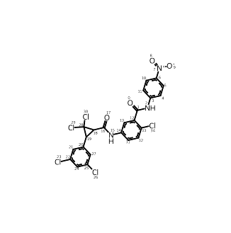 O=C(Nc1ccc([N+](=O)[O-])cc1)c1cc(NC(=O)C2C(c3cc(Cl)cc(Cl)c3)C2(Cl)Cl)ccc1Cl